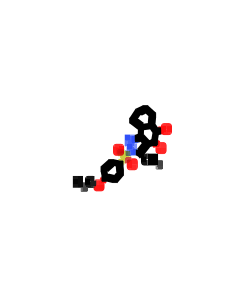 COc1ccc(S(=O)(=O)n2nc3c(c2C)C(=O)C(=O)c2ccccc2-3)cc1